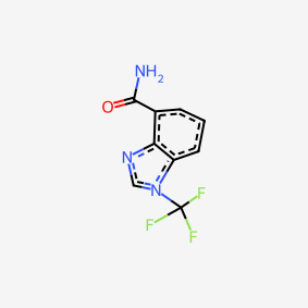 NC(=O)c1cccc2c1ncn2C(F)(F)F